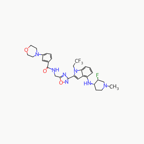 CN1CC[C@@H](Nc2cccc3c2cc(-c2noc(CNC(=O)c4cccc(N5CCOCC5)c4)n2)n3CC(F)(F)F)[C@@H](F)C1